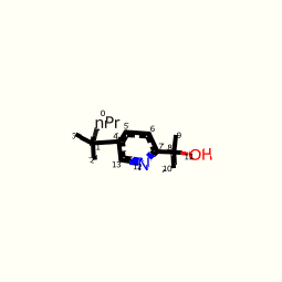 CCCC(C)(C)c1ccc(C(C)(C)O)nc1